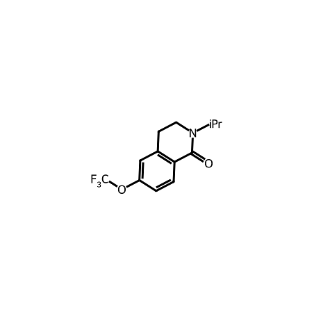 CC(C)N1CCc2cc(OC(F)(F)F)ccc2C1=O